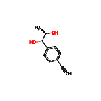 C#Cc1ccc([C@H](O)[C@@H](C)O)cc1